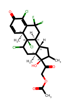 CC(=O)OCC(=O)[C@@]1(O)C(C)C[C@H]2[C@@H]3CC(F)(F)C4=C(Cl)C(=O)C=C[C@]4(C)[C@@]3(Cl)C(Cl)C[C@@]21C